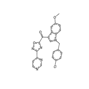 COc1ccc2c(c1)c(C(=O)c1nc(-c3ccncn3)no1)cn2Cc1ccc(Cl)cc1